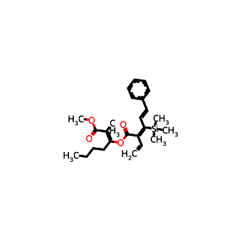 C=CC(C(=O)OC(CCCC)=C(C)C(=O)OC)=C(C=Cc1ccccc1)[Si](C)(C)C